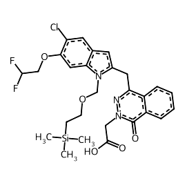 C[Si](C)(C)CCOCn1c(Cc2nn(CC(=O)O)c(=O)c3ccccc23)cc2cc(Cl)c(OCC(F)F)cc21